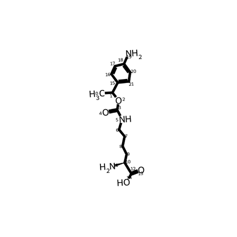 CC(OC(=O)NCCCC[C@H](N)C(=O)O)c1ccc(N)cc1